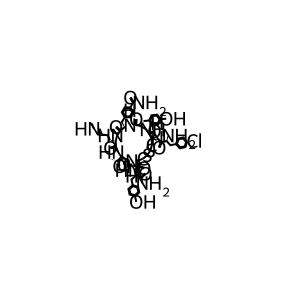 CNCCCC[C@@H]1NC(=O)[C@@H](Cc2ccc(C(N)=O)cc2)NC(=O)[C@H](Cc2ccc(O)cc2)NC(=O)[C@H](NC(=O)[C@@H](N)Cc2ccc(Cl)cc2)CSSC[C@@H](C(=O)NC(Cc2ccc(O)cc2)C(N)=O)NC(=O)[C@H]([C@@H](C)O)NC1=O